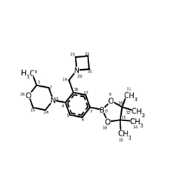 CC1CN(c2ccc(B3OC(C)(C)C(C)(C)O3)cc2CN2CCC2)CCO1